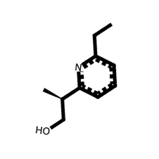 CCc1cccc([C@H](C)CO)n1